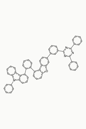 c1ccc(-c2nc(-c3ccccc3)nc(-c3cccc(-c4ccc5c(c4)oc4cccc(-c6ccccc6-c6cccc7c6c6ccccc6n7-c6ccccc6)c45)c3)n2)cc1